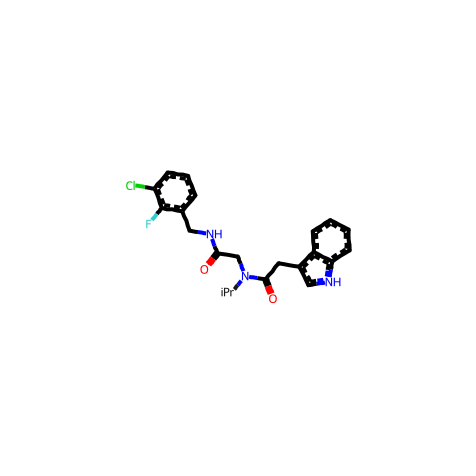 CC(C)N(CC(=O)NCc1cccc(Cl)c1F)C(=O)Cc1c[nH]c2ccccc12